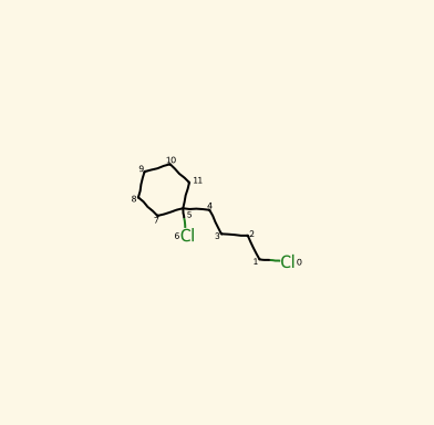 ClCCCCC1(Cl)CCCCC1